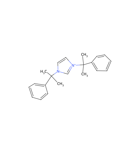 CC(C)(c1ccccc1)n1cc[n+](C(C)(C)c2ccccc2)c1